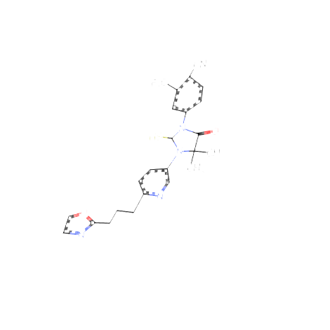 CC1(C)C(=O)N(c2ccc(C#N)c(C(F)(F)F)c2)C(S)N1c1ccc(CCCc2ncco2)nc1